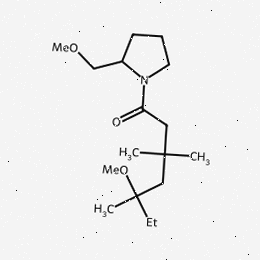 CCC(C)(CC(C)(C)CC(=O)N1CCCC1COC)OC